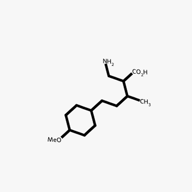 COC1CCC(CCC(C)C(CN)C(=O)O)CC1